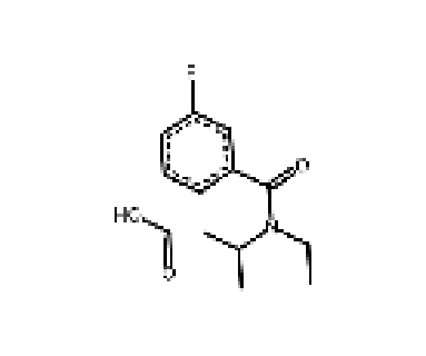 CCN(C(=O)c1cccc(F)c1)C(C)C.O=CO